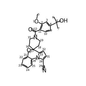 COc1cc(C(C)(C)O)ccc1C(=O)N1CCC2(CC1)Oc1ccccc1-n1c(C#N)ccc12